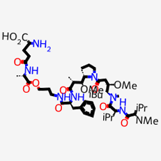 CC[C@H](C)[C@@H]([C@@H](CC(=O)N1CCC[C@H]1[C@H](OC)[C@@H](C)C(=O)N[C@@H](Cc1ccccc1)C(=O)NCCCOC(=O)[C@H](C)NC(=O)CCC(N)C(=O)O)OC)N(C)C(=O)[C@@H](NC(=O)[C@@H](NC)C(C)C)C(C)C